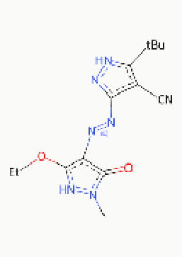 CCOc1[nH]n(C)c(=O)c1/N=N/c1n[nH]c(C(C)(C)C)c1C#N